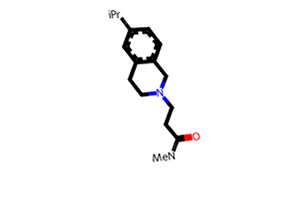 CNC(=O)CCN1CCc2cc(C(C)C)ccc2C1